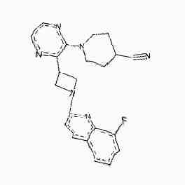 N#CC1CCN(c2nccnc2C2CN(c3ccc4cccc(F)c4n3)C2)CC1